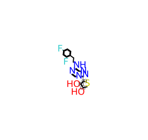 O[C@@H]1[C@H](O)CS[C@H]1c1nnc2c(NCCc3ccc(F)cc3F)nccn12